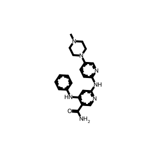 CN1CCN(c2ccc(Nc3cc(Nc4ccccc4)c(C(N)=O)cn3)nc2)CC1